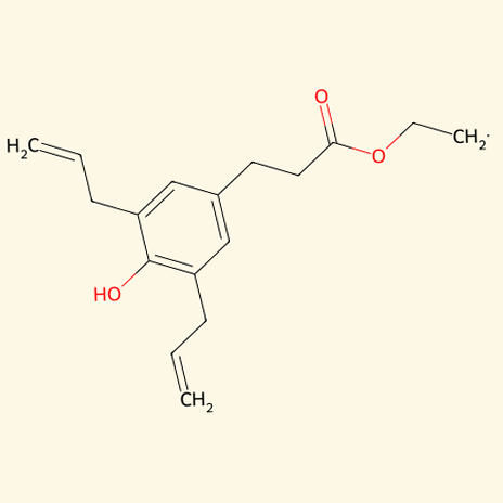 [CH2]COC(=O)CCc1cc(CC=C)c(O)c(CC=C)c1